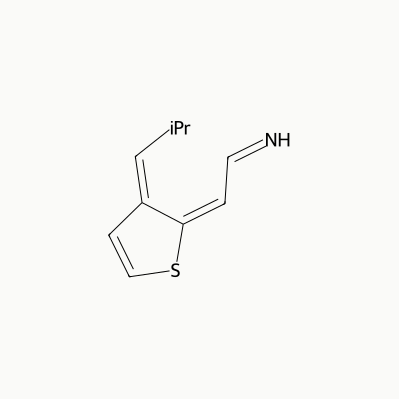 CC(C)/C=c1/ccs/c1=C/C=N